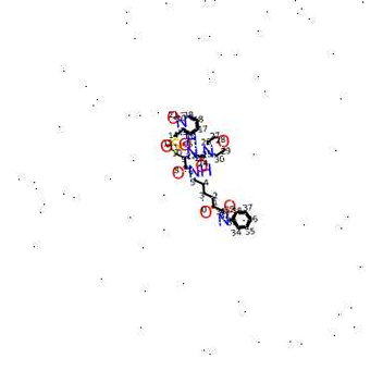 O=C(CCCCNC(=O)[C@@H](CS(=O)(=O)Cc1cccc[n+]1[O-])NC(=O)N1CCOCC1)c1nc2ccccc2o1